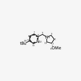 CO[C@H]1CCN(Cc2ccc(C(C)(C)C)cn2)C1